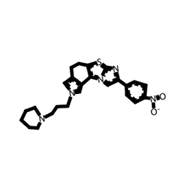 O=[N+]([O-])c1ccc(-c2cn3c4c(sc3n2)CCc2cn(CCCN3CCCCC3)cc2-4)cc1